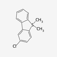 CS1(C)c2ccccc2-c2cc(Cl)ccc21